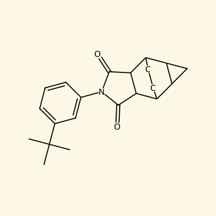 CC(C)(C)c1cccc(N2C(=O)C3C4CCC(C5CC54)C3C2=O)c1